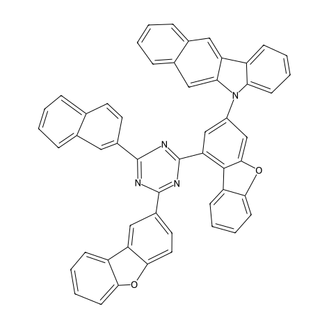 c1ccc2cc(-c3nc(-c4ccc5oc6ccccc6c5c4)nc(-c4cc(-n5c6ccccc6c6cc7ccccc7cc65)cc5oc6ccccc6c45)n3)ccc2c1